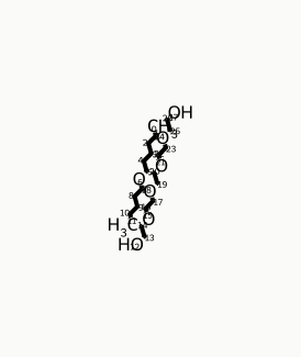 CCCCCCOCCCCC.OCCOCCOCCOCCOCCO